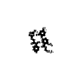 CC(C)N(C(=O)COc1nnc(C(F)(F)F)s1)c1ccc(F)cc1.CCOC(=O)COC(=O)c1cc(Oc2ccc(C(F)(F)F)cc2Cl)ccc1[N+](=O)[O-]